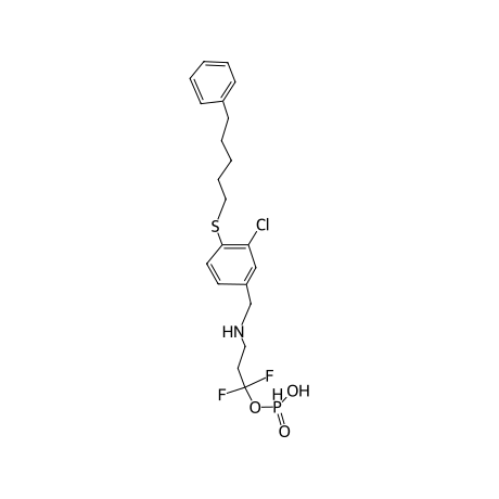 O=[PH](O)OC(F)(F)CCNCc1ccc(SCCCCCc2ccccc2)c(Cl)c1